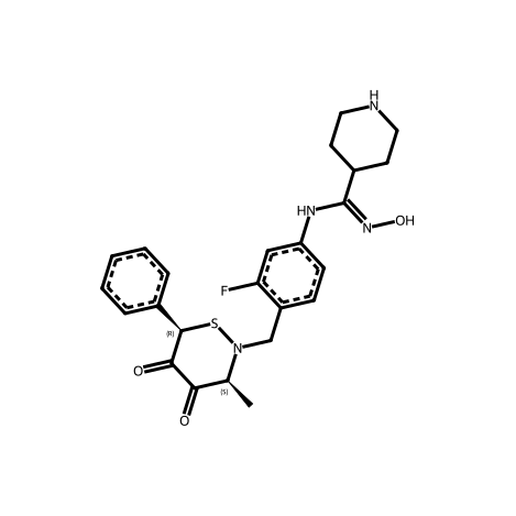 C[C@H]1C(=O)C(=O)[C@@H](c2ccccc2)SN1Cc1ccc(NC(=NO)C2CCNCC2)cc1F